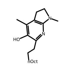 CCCCCCCCCCc1nc2c(c(C)c1O)CCN2C